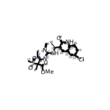 C=N/C(=N\C(=C/C)C(C)(C(=O)OC)S(C)(=O)=O)N[C@@H](C)c1cc2cc(Cl)ccc2[nH]c1=O